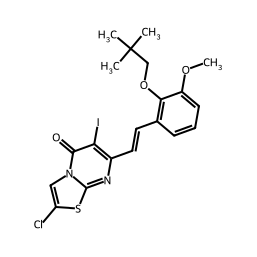 COc1cccc(/C=C/c2nc3sc(Cl)cn3c(=O)c2I)c1OCC(C)(C)C